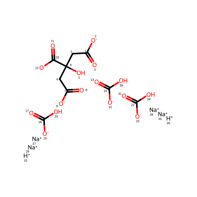 O=C([O-])CC(O)(CC(=O)[O-])C(=O)[O-].O=C([O-])O.O=C([O-])O.O=C([O-])O.[H+].[H+].[Na+].[Na+].[Na+].[Na+]